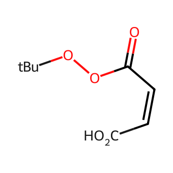 CC(C)(C)OOC(=O)/C=C\C(=O)O